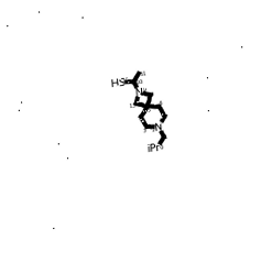 CC(C)CN1CCC2(CC1)CN(C(C)S)C2